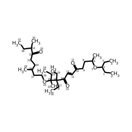 CCC(CC)OC(C)CCC(=O)/C=C/C(=O)C(CC)(CC)C(C)(CC)OCCC(C)CCC(=O)C(C)CC